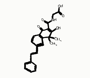 CC1(C)C(O)=C(C(=O)NCC(=O)O)C(=O)c2ccc(CCc3ccccc3)cc21